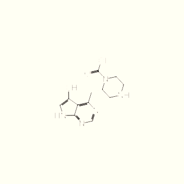 Cc1c[nH]c2ncnc(C[C@H]3CNCCN3C(=O)O)c12